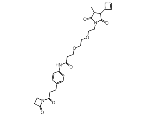 CC1C(=O)N(CCOCCOCCC(=O)Nc2ccc(CCC(=O)N3CCC3=O)cc2)C(=O)C1C1C=CC1